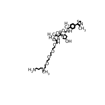 Cc1ncsc1-c1ccc([C@H](C)NC(=O)[C@@H]2C[C@@H](O)CN2C(=O)[C@@H](NC(=O)COCCOCCOCCOCCN(C)CCCN)C(C)(C)C)cc1